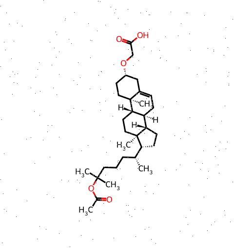 CC(=O)OC(C)(C)CCC[C@@H](C)[C@H]1CC[C@H]2[C@@H]3CC=C4C[C@@H](OCC(=O)O)CC[C@]4(C)[C@H]3CC[C@]12C